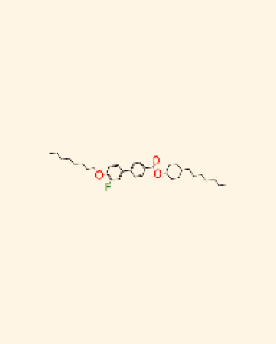 CCCCCCCCOc1ccc(-c2ccc(C(=O)O[C@H]3CC[C@H](CCCCCCC)CC3)cc2)cc1F